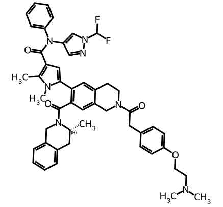 Cc1c(C(=O)N(c2ccccc2)c2cnn(C(F)F)c2)cc(-c2cc3c(cc2C(=O)N2Cc4ccccc4C[C@H]2C)CN(C(=O)Cc2ccc(OCCN(C)C)cc2)CC3)n1C